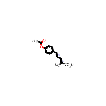 CCCC(=O)Oc1ccc(/C=C/C=C(\C#N)C(=O)O)cc1